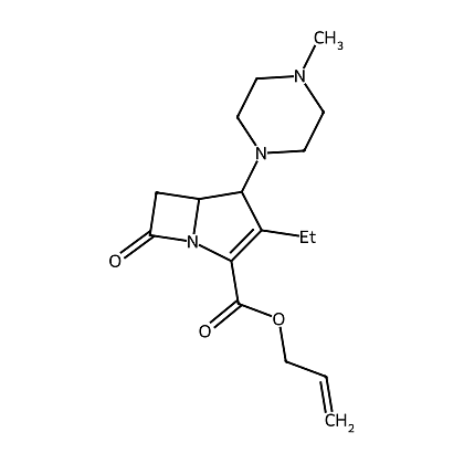 C=CCOC(=O)C1=C(CC)C(N2CCN(C)CC2)C2CC(=O)N12